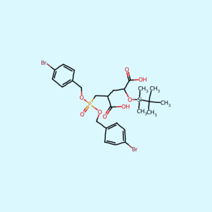 CC(C)(C)[Si](C)(C)OC(CC(CP(=O)(OCc1ccc(Br)cc1)OCc1ccc(Br)cc1)C(=O)O)C(=O)O